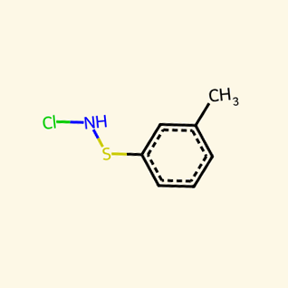 Cc1cccc(SNCl)c1